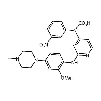 COc1cc(N2CCN(C)CC2)ccc1Nc1nccc(N(C(=O)O)c2cccc([N+](=O)[O-])c2)n1